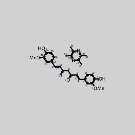 COc1cc(/C=C/C(=O)CC(=O)/C=C/c2ccc(O)c(OC)c2)ccc1O.Cc1nc(C)c(C)nc1C